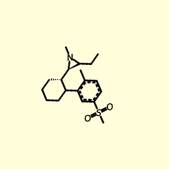 CCC1[C@@H]([C@H]2CCCCC2c2cc(S(C)(=O)=O)ccc2C)N1C